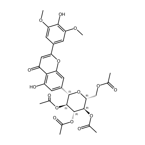 COc1cc(-c2cc(=O)c3c(O)cc([C@@H]4O[C@H](COC(C)=O)[C@@H](OC(C)=O)[C@H](OC(C)=O)[C@H]4OC(C)=O)cc3o2)cc(OC)c1O